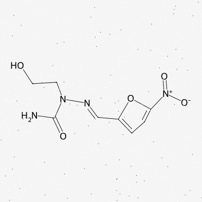 NC(=O)N(CCO)N=Cc1ccc([N+](=O)[O-])o1